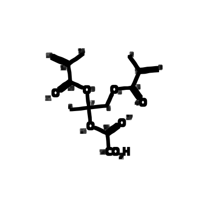 C=C(C)C(=O)OCC(C)(OC(=O)C(=C)C)OC(=O)C(=O)O